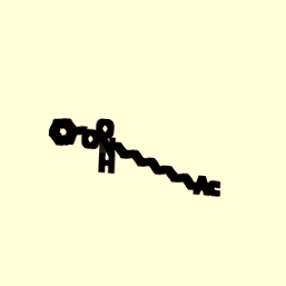 CC(=O)CCCCCCCCCCNC(=O)OCc1ccccc1